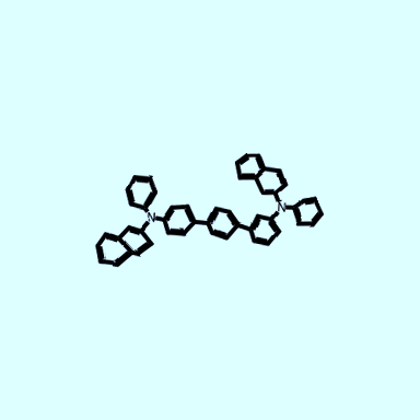 c1ccc(N(c2ccc(-c3ccc(-c4cccc(N(c5ccccc5)c5ccc6ccccc6c5)c4)cc3)cc2)c2ccc3ccccc3c2)cc1